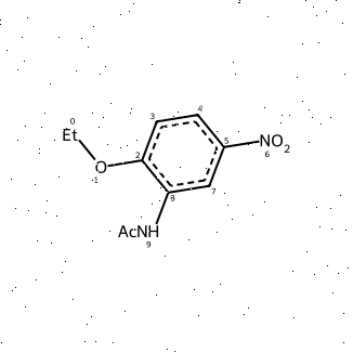 CCOc1ccc([N+](=O)[O-])cc1NC(C)=O